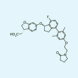 Cc1cc(OCCN2CCCC2=O)cc(C)c1-c1ccc(F)c2c1CC[C@H]2Oc1ccc2c(c1)OC[C@H]2CC(=O)O